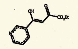 CCOC(=O)C(=O)/C=C(\O)c1cccnc1